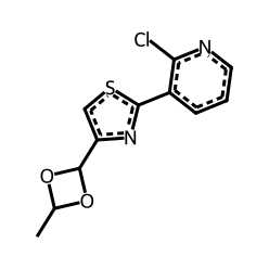 CC1OC(c2csc(-c3cccnc3Cl)n2)O1